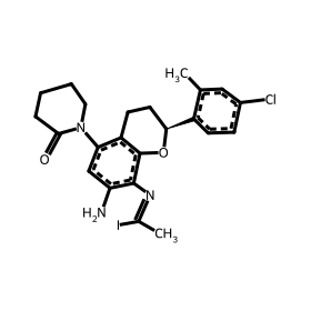 C/C(I)=N/c1c(N)cc(N2CCCCC2=O)c2c1O[C@H](c1ccc(Cl)cc1C)CC2